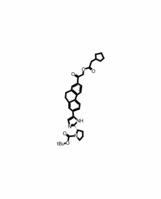 CC(C)(C)OC(=O)N1CCC[C@H]1c1ncc(-c2ccc3c(c2)CCc2cc(C(=O)COC(=O)CC4CCCC4)ccc2-3)[nH]1